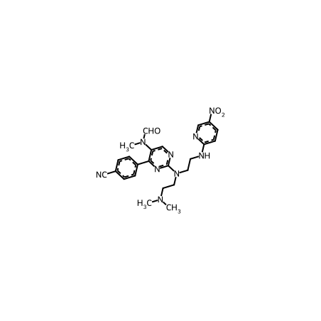 CN(C)CCN(CCNc1ccc([N+](=O)[O-])cn1)c1ncc(N(C)C=O)c(-c2ccc(C#N)cc2)n1